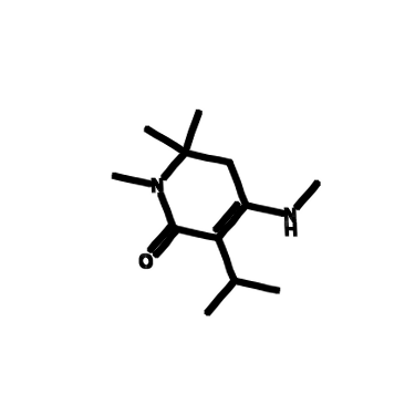 CNC1=C(C(C)C)C(=O)N(C)C(C)(C)C1